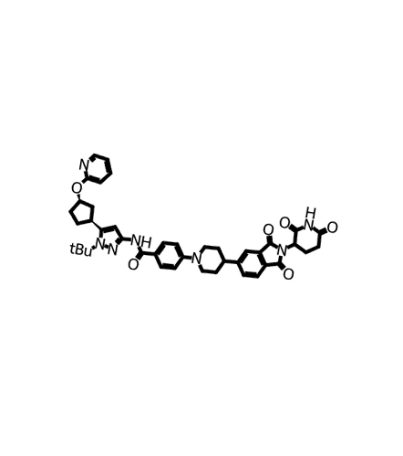 CC(C)(C)n1nc(NC(=O)c2ccc(N3CCC(c4ccc5c(c4)C(=O)N(C4CCC(=O)NC4=O)C5=O)CC3)cc2)cc1[C@H]1CC[C@@H](Oc2ccccn2)C1